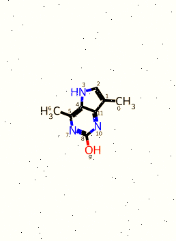 Cc1c[nH]c2c(C)nc(O)nc12